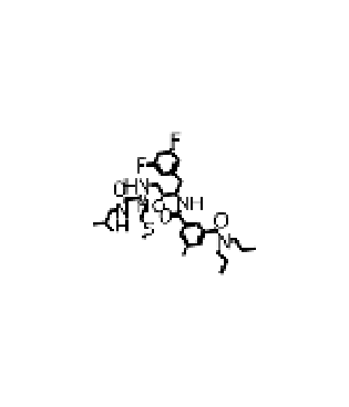 CCCN(CCC)C(=O)c1cc(C)cc(C(=O)NC(Cc2cc(F)cc(F)c2)C(O)CN[C@@H](CCSC)C(=O)NCC(C)C)c1